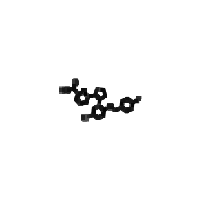 O=C(O)c1cccc(C2=C(c3cc(Cl)ccc3OCc3ccc(F)cc3)CCC2)n1